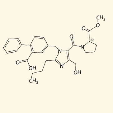 CCCCc1nc(CO)c(C(=O)N2CCC[C@H]2C(=O)OC)n1Cc1ccc(-c2ccccc2)c(C(=O)O)c1